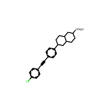 CCCCCCCC1CCC2CC(c3ccc(C#Cc4ccc(Cl)cc4)cc3)CCC2C1